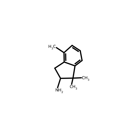 Cc1cccc2c1CC(N)C2(C)C